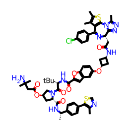 Cc1ncsc1-c1ccc([C@H](C)NC(=O)[C@@H]2C[C@@H](OC(=O)CC(C)(C)N)CN2C(=O)[C@@H](NC(=O)c2cc3cc(O[C@H]4C[C@@H](NC(=O)C[C@@H]5N=C(c6ccc(Cl)cc6)c6c(sc(C)c6C)-n6c(C)nnc65)C4)ccc3o2)C(C)(C)C)cc1